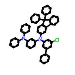 Clc1cc(-c2ccccc2)cc(N(c2cccc(N(c3ccccc3)c3ccccc3)c2)c2ccc3c(c2)-c2ccccc2C3(c2ccccc2)c2ccccc2)c1